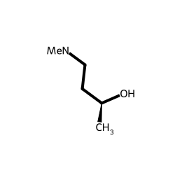 CNCC[C@H](C)O